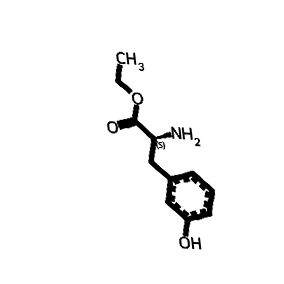 CCOC(=O)[C@@H](N)Cc1cccc(O)c1